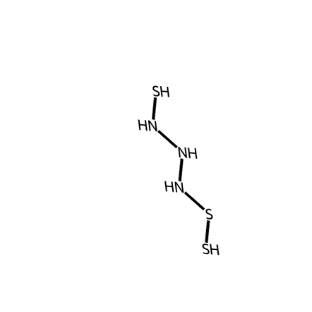 SNNNSS